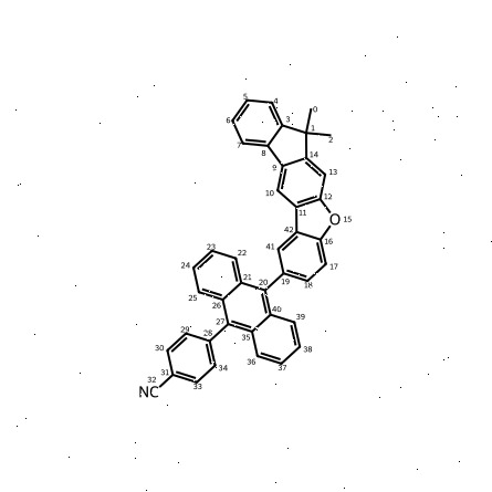 CC1(C)c2ccccc2-c2cc3c(cc21)oc1ccc(-c2c4ccccc4c(-c4ccc(C#N)cc4)c4ccccc24)cc13